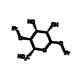 CC(C)OC1O[C@H](C(=O)O)[C@@H](OC(C)C)[C@H](O)[C@@H]1O